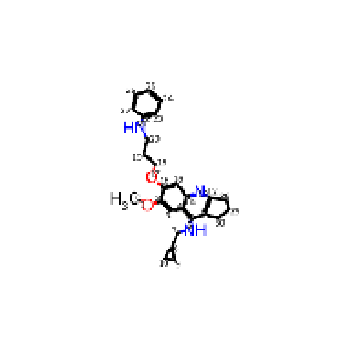 COc1cc2c(NCC3CC3)c3c(nc2cc1OCCCNc1ccccc1)CCC3